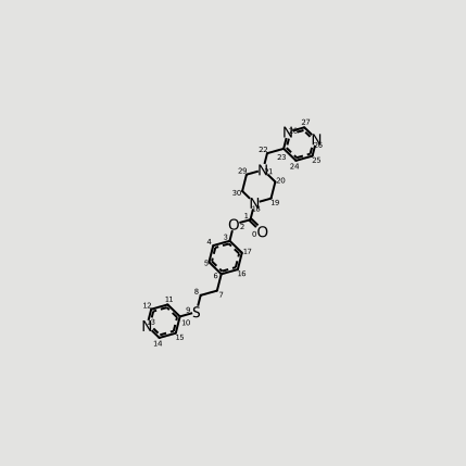 O=C(Oc1ccc(CCSc2ccncc2)cc1)N1CCN(Cc2ccncn2)CC1